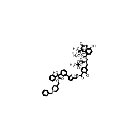 CC(C)(C)OC(=O)N(Cc1ccc(C(=O)NCc2ccc(-c3cccc(C(O)(C(=O)OCC4CCN(Cc5ccccc5)CC4)c4ccccc4)c3)s2)c(Cl)c1)C[C@@H](O[Si](C)(C)C(C)(C)C)c1ccc(O)c2[nH]c(=O)ccc12